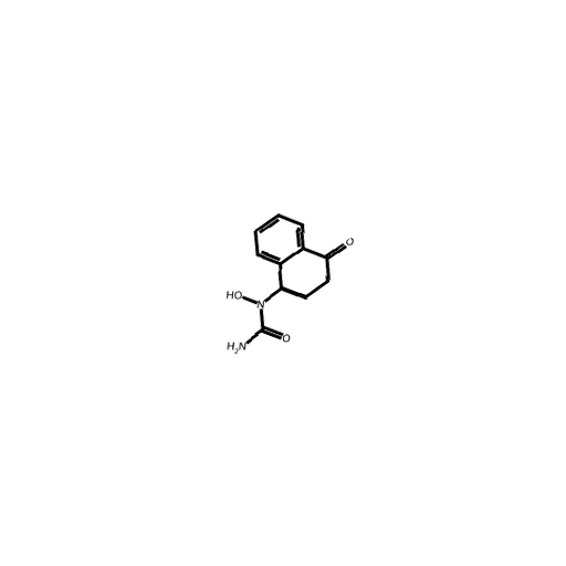 NC(=O)N(O)C1CCC(=O)c2ccccc21